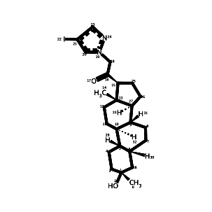 C[C@@]1(O)CC[C@H]2[C@H](CC[C@@H]3[C@@H]2CC[C@]2(C)[C@@H](C(=O)Cn4cc(I)cn4)CC[C@@H]32)C1